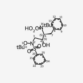 CC(C)(C)ON(C[C@H](O)[C@H](Cc1ccccc1)N(C(=O)O)C(C)(C)C)S(=O)(=O)c1ccccc1